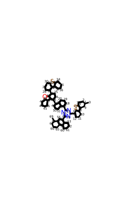 CC1C=Cc2sc3c(c2C1)CCC=C3c1nc(-c2cccc3c(-c4ccc(-c5cccc6sc7ccccc7c56)c5oc6ccccc6c45)cccc23)nc(-c2cc3c(c4ccccc24)C=CCC3C)n1